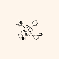 Cc1cc(C(=O)N(CC2CCNC2)[C@@H](c2nc(-c3ccccc3)cn2Cc2cccc(C#N)c2)C(C)(C)C)nn1C